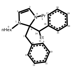 CCCCCCN1C=CN(C(C)C)C1(Cc1ccccc1)C(CC)c1ccccc1